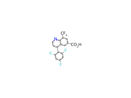 O=C(O)c1cc(C(F)(F)F)c2nccc(-c3c(F)cc(F)cc3F)c2c1